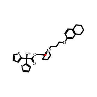 O=C(OC1C[N+]2(CCCOc3ccc4c(c3)CCCC4)CCC1CC2)C(O)(c1cccs1)c1cccs1